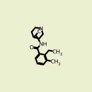 CCc1c(C)cccc1C(=O)NC1CN2CCC1CC2